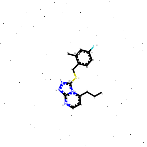 CCCc1ccnc2nnc(SCc3ccc(F)cc3C)n12